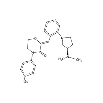 CN(C)[C@@H]1CCN(c2ccccc2C=C2OCCN(c3ccc(C(C)(C)C)cc3)C2=O)C1